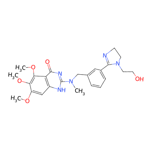 COc1cc2[nH]c(N(C)Cc3cccc(C4=NCCN4CCO)c3)nc(=O)c2c(OC)c1OC